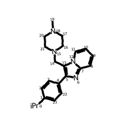 CC(C)c1ccc(-c2nc3ccccn3c2CN2CCN(C)CC2)cc1